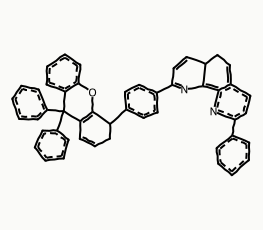 C1=CC2=C(Oc3ccccc3C2(c2ccccc2)c2ccccc2)C(c2ccc(C3=NC4=c5nc(-c6ccccc6)ccc5=CCC4C=C3)cc2)C1